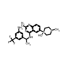 Cc1nc(NC(C)c2cc(N)cc(C(F)(F)F)c2)c2cc([P]3(O)CCN(C)CC3)ccc2n1